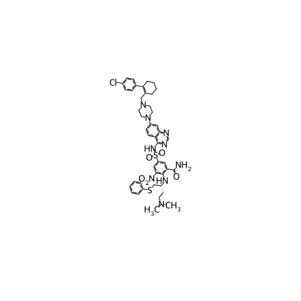 CN(C)CC[C@H](CSc1ccccc1)Nc1c(C(N)=O)cc(S(=O)(=O)Nc2ncnc3cc(N4CCN(CC5=C(c6ccc(Cl)cc6)CCCC5)CC4)ccc23)cc1[N+](=O)[O-]